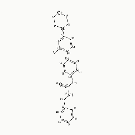 Cc1cc(N2CCOCC2)ccc1-c1ccc(CC(=O)NCc2ccccn2)nc1